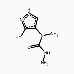 NNC(=O)N(N)c1c[nH]nc1O